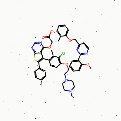 COc1ccccc1-c1nccc(COc2ccccc2C[C@H](Oc2ncnc3sc(-c4ccc(F)cc4)c(-c4ccc(OCCN5CCN(C)CC5)c(Cl)c4C)c23)C(=O)O)n1